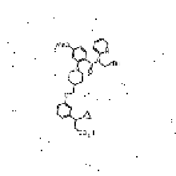 COc1ccc(C(=O)N(CC(C)(C)C)c2ccccn2)c(N2CCC(COc3cccc(C(CC(=O)O)C4CC4)c3)CC2)c1